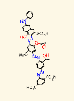 COc1cc(N=Nc2c(S(=O)(=O)O)cc3cc(Nc4ccccc4)ccc3c2O)c(OC2CO2)cc1N=Nc1ccc(N=Nc2cc(C(=O)O)ccc2C(=O)O)cc1C(C)O